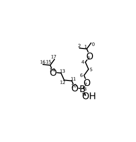 CC(C)OCCCOB(O)OCCCOC(C)C